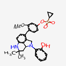 COc1cc(OS(=O)(=O)C2CC2)ccc1-c1ccc2c3c1CN(c1ccccc1O)C3CC(C)(C)N2